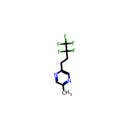 Cc1cnc(CCC(F)(F)C(F)(F)F)cn1